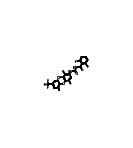 Cc1cc(C(F)(F)F)ccc1Oc1c(C)cc(NC(=O)NC(=O)c2c(F)cccc2F)c(C)c1Cl